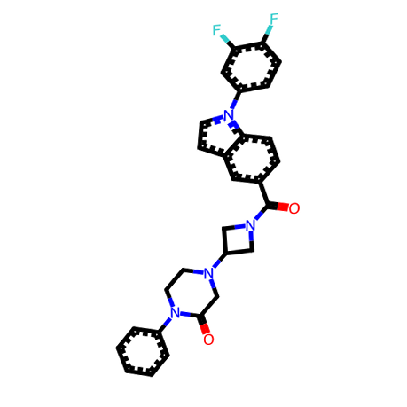 O=C(c1ccc2c(ccn2-c2ccc(F)c(F)c2)c1)N1CC(N2CCN(c3ccccc3)C(=O)C2)C1